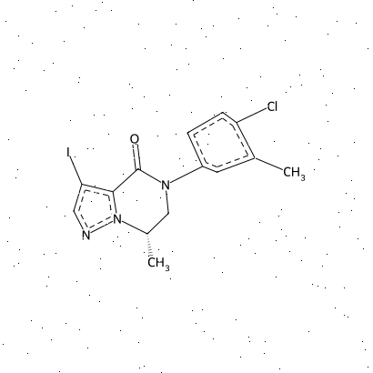 Cc1cc(N2C[C@H](C)n3ncc(I)c3C2=O)ccc1Cl